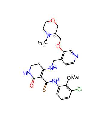 COc1c(Cl)cccc1NC(=S)C1=C(NCc2ccncc2OC[C@@H]2COCCN2C)CCNC1=O